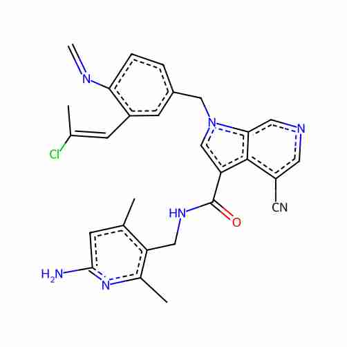 C=Nc1ccc(Cn2cc(C(=O)NCc3c(C)cc(N)nc3C)c3c(C#N)cncc32)cc1/C=C(\C)Cl